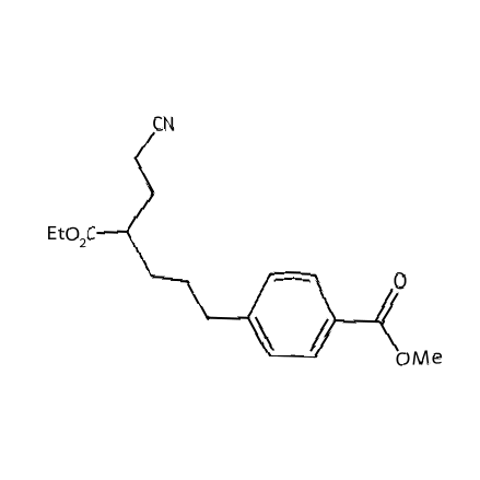 CCOC(=O)C(CCC#N)CCCc1ccc(C(=O)OC)cc1